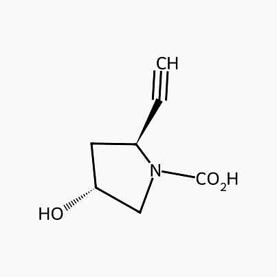 C#C[C@@H]1C[C@@H](O)CN1C(=O)O